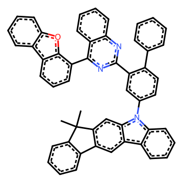 CC1(C)c2ccccc2-c2cc3c4ccccc4n(-c4ccc(-c5ccccc5)c(-c5nc(-c6cccc7c6oc6ccccc67)c6ccccc6n5)c4)c3cc21